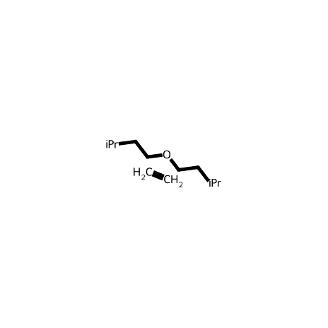 C=C.CC(C)CCOCCC(C)C